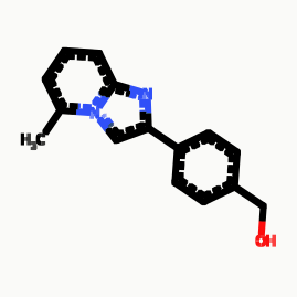 Cc1cccc2nc(-c3ccc(CO)cc3)cn12